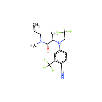 C=CCN(C)C(=O)C(C)N(CC(F)(F)F)c1ccc(C#N)c(C(F)(F)F)c1